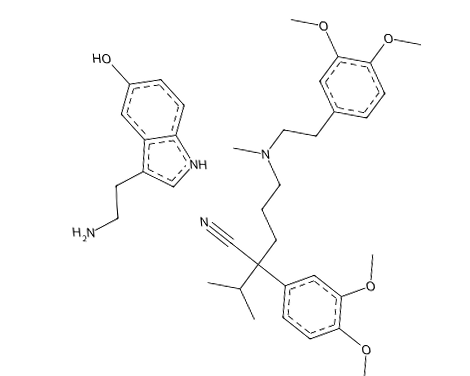 COc1ccc(CCN(C)CCCC(C#N)(c2ccc(OC)c(OC)c2)C(C)C)cc1OC.NCCc1c[nH]c2ccc(O)cc12